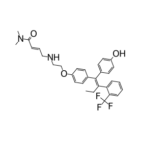 CCC(=C(c1ccc(O)cc1)c1ccc(OCCNCC=CC(=O)N(C)C)cc1)c1ccccc1C(F)(F)F